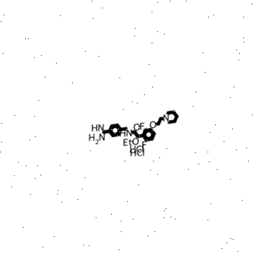 CCOC(C(=O)NCc1ccc(C(=N)N)cc1)c1c(F)ccc(OCCN2CCCCC2)c1F.Cl.Cl